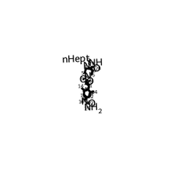 CCCCCCCC1=NC2(CCN(S(=O)(=O)/C=C/c3c(C)cc(N(C)C(N)=O)cc3C)CC2)C(=O)N1